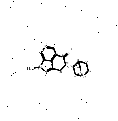 Cn1nc2c3c(cncc31)C(=O)[C@H](C1CN3CCC1CC3)C2